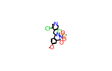 COc1ccc2c(Cc3c(Cl)cncc3Cl)nn(S(C)(=O)=O)c(=O)c2c1